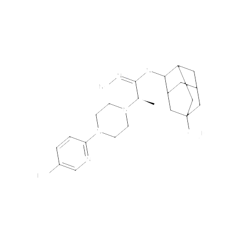 C[C@H](/C(=N\C#N)NC1C2CC3CC1CC(C(=O)O)(C3)C2)N1CCN(c2ccc(C(F)(F)F)cn2)CC1